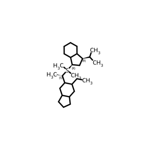 CCC1CC2CCCC2CC1[C@H](C)S(C)(C)[C@@H]1C[C@H](C(C)C)C2CCCCC21